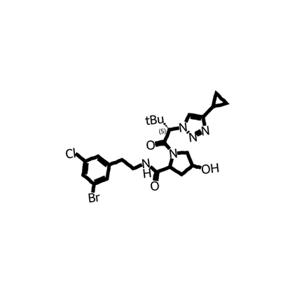 CC(C)(C)[C@@H](C(=O)N1CC(O)CC1C(=O)NCCc1cc(Cl)cc(Br)c1)n1cc(C2CC2)nn1